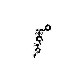 CN(CCc1ccccc1)S(=O)(=O)c1ccc(NC(=O)C2CCN(C#N)C2)nc1